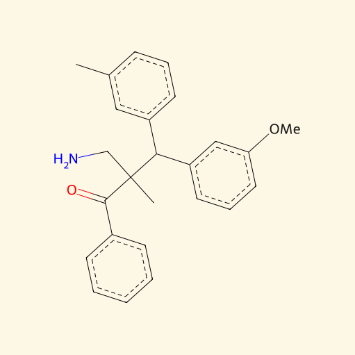 COc1cccc(C(c2cccc(C)c2)C(C)(CN)C(=O)c2ccccc2)c1